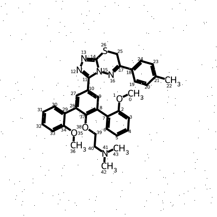 COc1ccccc1-c1cc(-c2nnc3n2N=C(c2ccc(C)cc2)CS3)cc(-c2ccccc2OC)c1OCCN(C)C